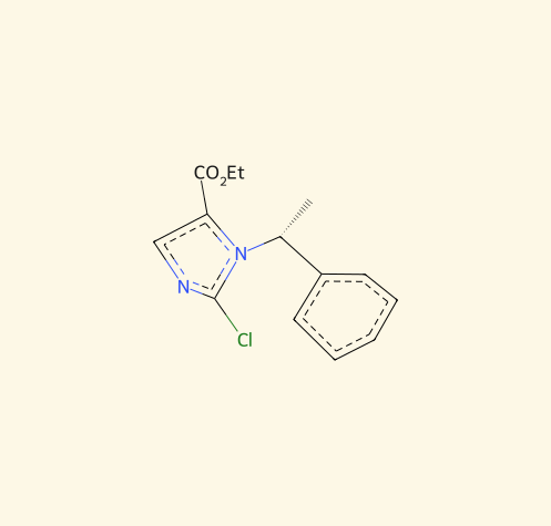 CCOC(=O)c1cnc(Cl)n1[C@H](C)c1ccccc1